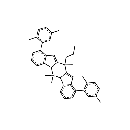 CCCC1(C)C2=Cc3c(-c4cc(C)ccc4C)cccc3[CH]2[Hf]([CH3])([CH3])[CH]2C1=Cc1c(-c3cc(C)ccc3C)cccc12